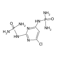 NP(N)(=O)Nc1cc(Cl)nc(NP(N)(N)=O)n1